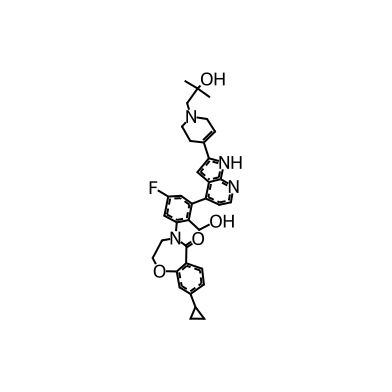 CC(C)(O)CN1CC=C(c2cc3c(-c4cc(F)cc(N5CCOc6cc(C7CC7)ccc6C5=O)c4CO)ccnc3[nH]2)CC1